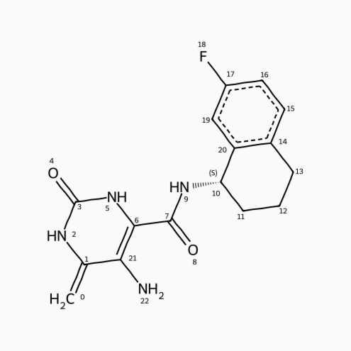 C=C1NC(=O)NC(C(=O)N[C@H]2CCCc3ccc(F)cc32)=C1N